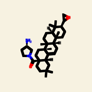 CC1(C)CC[C@]2(C(=O)N3CC[C@H](N)C3)CC[C@]3(C)C(=CC[C@@H]4[C@@]5(C)CC[C@H](C6CO6)C(C)(C)[C@@H]5CC[C@]43C)[C@@H]2C1